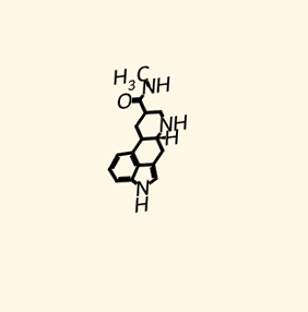 CNC(=O)C1CN[C@@H]2Cc3c[nH]c4cccc(c34)C2C1